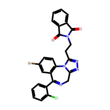 O=C1c2ccccc2C(=O)N1CCc1nnc2n1-c1ccc(Br)cc1C(c1ccccc1Cl)=NC2